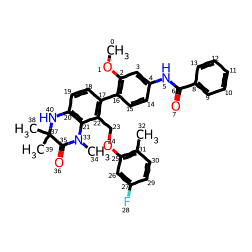 COc1cc(NC(=O)c2ccccc2)ccc1-c1ccc2c(c1COc1cc(F)ccc1C)N(C)C(=O)C(C)(C)N2